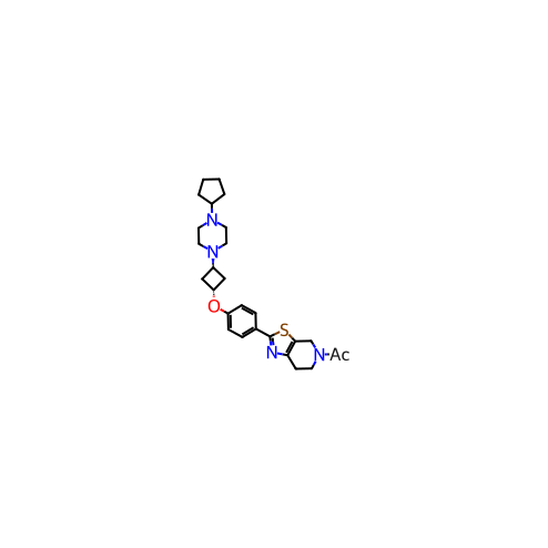 CC(=O)N1CCc2nc(-c3ccc(O[C@H]4C[C@H](N5CCN(C6CCCC6)CC5)C4)cc3)sc2C1